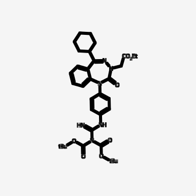 CCOC(=O)CN1N=C(C2CCCCC2)c2ccccc2N(c2ccc(NC(=N)N(C(=O)OC(C)(C)C)C(=O)OC(C)(C)C)cc2)C1=O